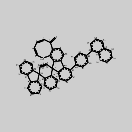 C=C1/C=C\C=C/Sc2c1ccc1c2C2(c3ccccc3C3(c4ccccc4-c4ccccc43)c3ccccc32)c2cccc(-c3ccc(-c4cccc5cccnc45)cc3)c2-1